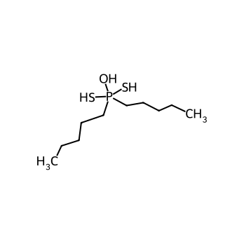 CCCCCP(O)(S)(S)CCCCC